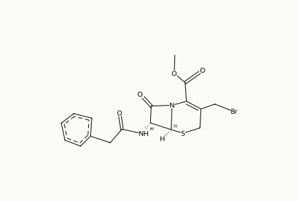 COC(=O)C1=C(CBr)CS[C@H]2[C@H](NC(=O)Cc3ccccc3)C(=O)N12